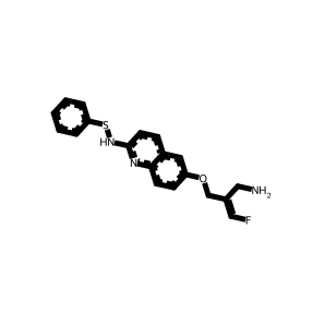 NC/C(=C\F)COc1ccc2nc(NSc3ccccc3)ccc2c1